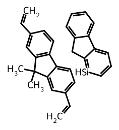 C=Cc1ccc2c(c1)C(C)(C)c1cc(C=C)ccc1-2.c1ccc2c(c1)Cc1[siH]cccc1-2